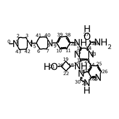 CN1CCN(C2CCN(c3ccc(Nc4nc(N[C@H]5C[C@H](O)C5)c(-c5ccnc6[nH]cnc56)nc4C(N)O)cc3)CC2)CC1